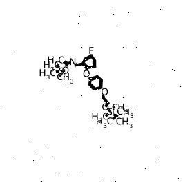 C=C(N=Cc1cc(F)ccc1Oc1ccc(OCCO[Si](C)(C)C(C)(C)C)cc1)O[Si](C)(C)C